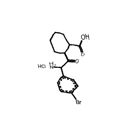 Cl.NC(C(=O)C1CCCCC1C(=O)O)c1ccc(Br)cc1